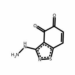 NNc1nsc2c1C(=O)C(=O)C=C2